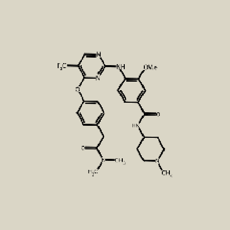 COc1cc(C(=O)NC2CCN(C)CC2)ccc1Nc1ncc(C(F)(F)F)c(Oc2ccc(CC(=O)N(C)C)cc2)n1